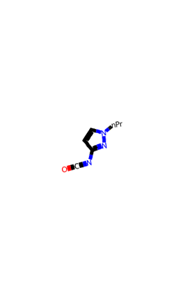 CCCn1ccc(N=C=O)n1